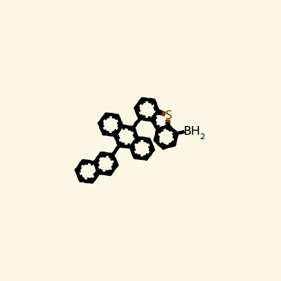 Bc1cccc2c1sc1cccc(-c3c4ccccc4c(-c4ccc5ccccc5c4)c4ccccc34)c12